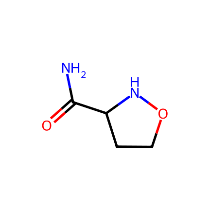 NC(=O)C1CCON1